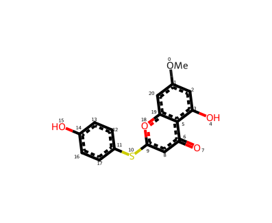 COc1cc(O)c2c(=O)cc(Sc3ccc(O)cc3)oc2c1